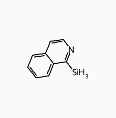 [SiH3]c1nccc2ccccc12